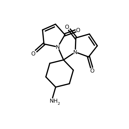 NC1CCC(N2C(=O)C=CC2=O)(N2C(=O)C=CC2=O)CC1